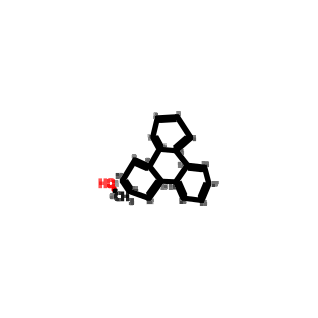 CO.c1ccc2c(c1)c1ccccc1c1ccccc21